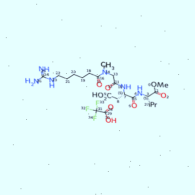 COC(=O)[C@@H](NC(=O)[C@H](CC(=O)O)NC(=O)CN(C)C(=O)CCCCCNC(=N)N)C(C)C.O=C(O)C(F)(F)F